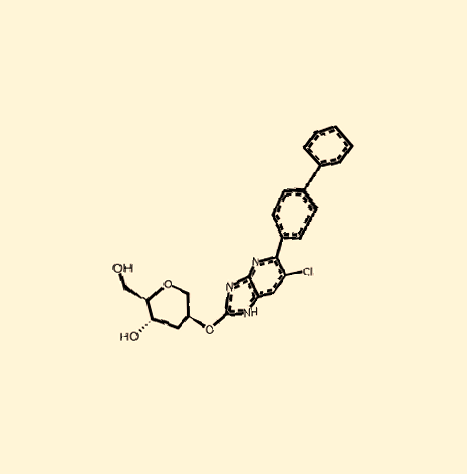 OC[C@H]1OC[C@@H](Oc2nc3nc(-c4ccc(-c5ccccc5)cc4)c(Cl)cc3[nH]2)C[C@@H]1O